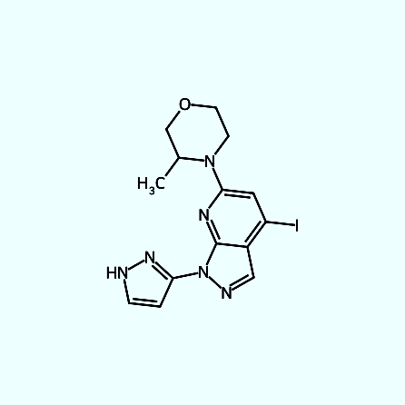 CC1COCCN1c1cc(I)c2cnn(-c3cc[nH]n3)c2n1